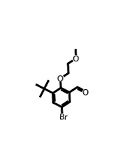 COCCOc1c(C=O)cc(Br)cc1C(C)(C)C